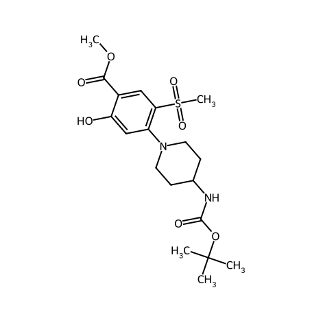 COC(=O)c1cc(S(C)(=O)=O)c(N2CCC(NC(=O)OC(C)(C)C)CC2)cc1O